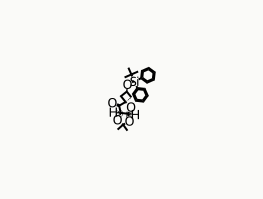 CC1(C)O[C@@H]2C(=O)[C@]3(C[C@H](O[Si](c4ccccc4)(c4ccccc4)C(C)(C)C)C3)O[C@@H]2O1